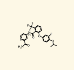 CC(C)Oc1ccc(Oc2cccc(C(F)(F)F)c2C(=O)Nc2ccnc(C(N)=O)c2)cc1F